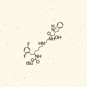 CC(C)(C)OC(=O)NC(CCCCNCCNC(=O)C(O)C(N)Cc1ccccc1)Cc1cc(F)ccc1F